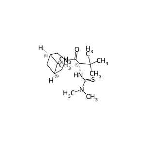 CN(C)C(=S)N[C@H](C(=O)N1C[C@H]2C[C@@H](C1)C2(C)C)C(C)(C)C